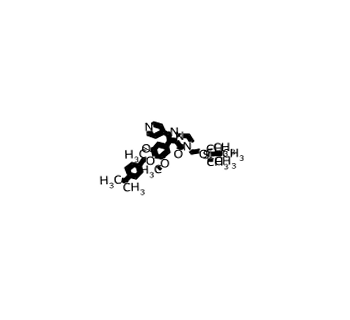 COc1cc(-c2c(-c3ccncc3)nn3c2C(=O)N(CCO[Si](C)(C)C(C)(C)C)CC3)cc(OC)c1OCc1ccc(C(C)C)cc1